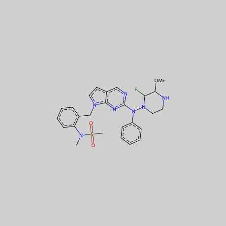 COC1NCCN(N(c2ccccc2)c2ncc3ccn(Cc4ccccc4N(C)S(C)(=O)=O)c3n2)C1F